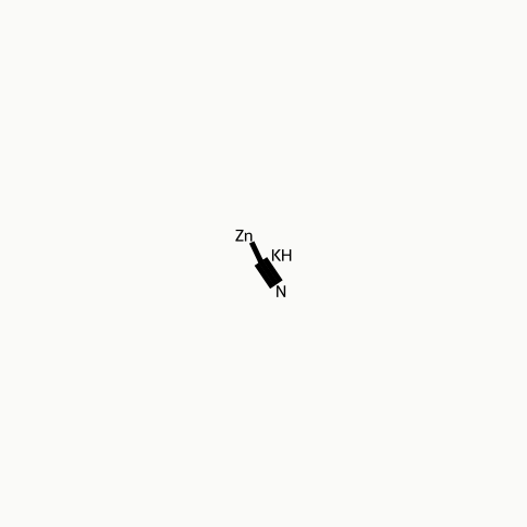 N#[C][Zn].[KH]